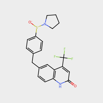 O=c1cc(C(F)(F)F)c2cc(Cc3ccc([S+]([O-])N4CCCC4)cc3)ccc2[nH]1